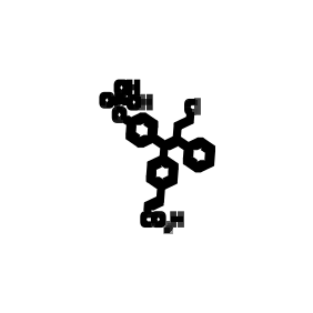 O=C(O)/C=C/c1ccc(/C(=C(/CCCl)c2ccccc2)c2ccc(OP(=O)(O)O)cc2)cc1